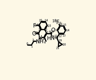 CCCNn1c(C)c(C(=O)N[C@H](c2cccc([18F])c2)C2CC2)c2cccc(F)c2c1=O